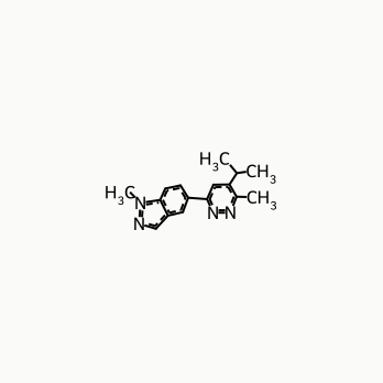 Cc1nnc(-c2ccc3c(cnn3C)c2)cc1C(C)C